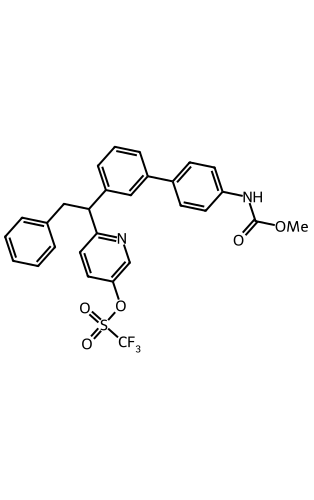 COC(=O)Nc1ccc(-c2cccc(C(Cc3ccccc3)c3ccc(OS(=O)(=O)C(F)(F)F)cn3)c2)cc1